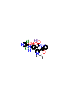 CN1C=C(C2=C(N[C@@H](Cc3ccc(NC(=O)c4c(Cl)cncc4Cl)cc3)C(=O)O)C3(CCCCC3)C2=O)C=CC1.I